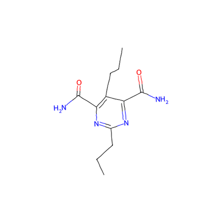 CCCc1nc(C(N)=O)c(CCC)c(C(N)=O)n1